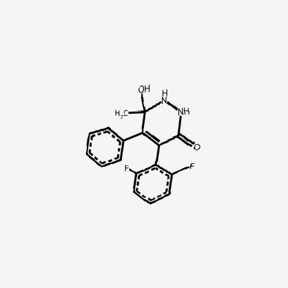 CC1(O)NNC(=O)C(c2c(F)cccc2F)=C1c1ccccc1